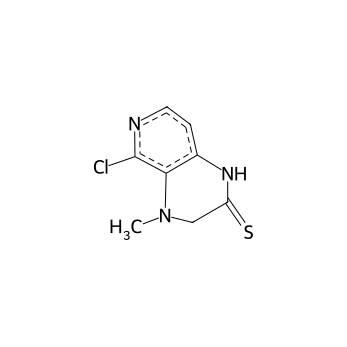 CN1CC(=S)Nc2ccnc(Cl)c21